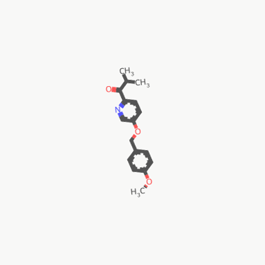 COc1ccc(COc2ccc(C(=O)C(C)C)nc2)cc1